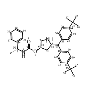 C[C@@H](NC(=O)O[C@H]1CN[C@@H](C(c2ccc(C(C)(C)C)cc2)c2ccc(C(C)(C)C)cc2)C1)c1ccccc1